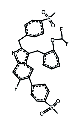 CS(=O)(=O)c1ccc(Cc2nc3cc(F)c(-c4ccc(S(C)(=O)=O)cc4)cn3c2Cc2ccccc2OC(F)F)cc1